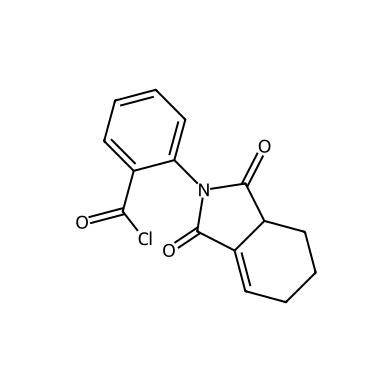 O=C(Cl)c1ccccc1N1C(=O)C2=CCCCC2C1=O